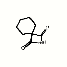 O=C1NC(=O)C12CCCCC2